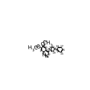 COc1cc2nncc(N3CCC(c4ccccc4)C3)c2cc1OC